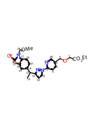 CCOC(=O)COCc1ccc(-n2ccc(C(C)c3ccc4c(c3)sc(=O)n4COC)n2)nc1